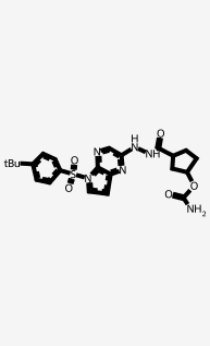 CC(C)(C)c1ccc(S(=O)(=O)n2ccc3nc(NNC(=O)C4CCC(OC(N)=O)C4)cnc32)cc1